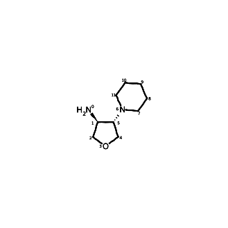 N[C@@H]1COC[C@H]1N1CCCCC1